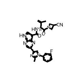 C=C(C)[C@@H](NC(=O)c1c[nH]c2ncc(-c3cn(-c4cccc(F)c4)c(C)n3)nc12)C(=O)N1CC(C#N)C1